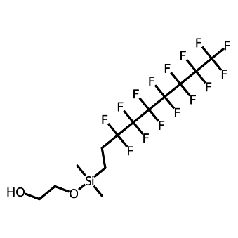 C[Si](C)(CCC(F)(F)C(F)(F)C(F)(F)C(F)(F)C(F)(F)C(F)(F)C(F)(F)F)OCCO